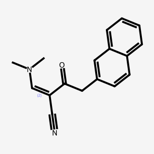 CN(C)/C=C(/C#N)C(=O)Cc1ccc2ccccc2c1